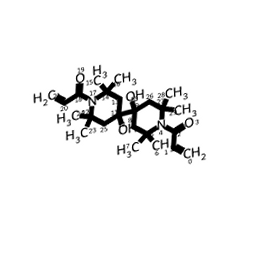 C=CC(=O)N1C(C)(C)CC(O)(C2(O)CC(C)(C)N(C(=O)C=C)C(C)(C)C2)CC1(C)C